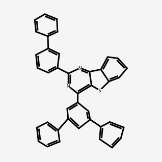 c1ccc(-c2cccc(-c3nc(-c4cc(-c5ccccc5)cc(-c5ccccc5)c4)c4sc5ccccc5c4n3)c2)cc1